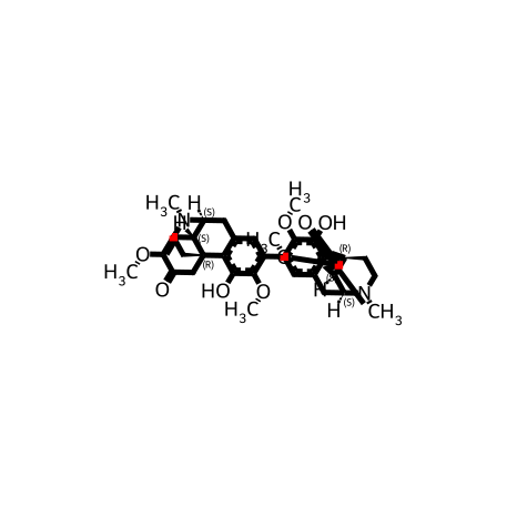 COC1=C[C@@H]2[C@@H]3Cc4cc(-c5cc6c(c(O)c5OC)[C@@]57CCN(C)[C@@H](C6)[C@H]5C=C(OC)C(=O)C7)c(OC)c(O)c4[C@]2(CCN3C)CC1=O